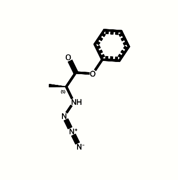 C[C@H](NN=[N+]=[N-])C(=O)Oc1ccccc1